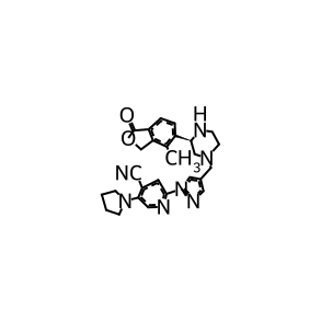 Cc1c([C@@H]2CN(Cc3cnn(-c4cc(C#N)c(N5CCCC5)cn4)c3)CCN2)ccc2c1COC2=O